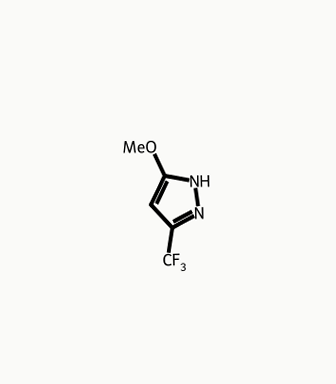 COc1cc(C(F)(F)F)n[nH]1